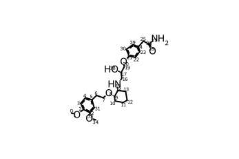 COc1ccc(CCO[C@H]2CCCC[C@@H]2NC[C@@H](O)COc2ccc(CC(N)=O)cc2)cc1OC